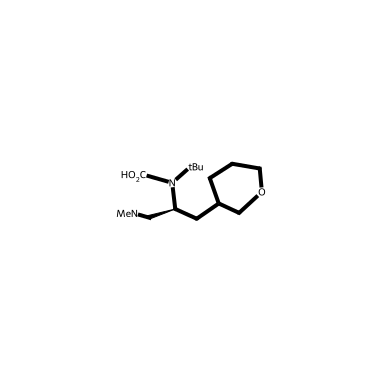 CNC[C@H](CC1CCCOC1)N(C(=O)O)C(C)(C)C